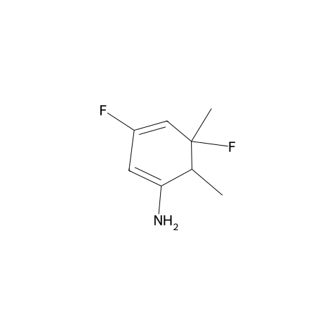 CC1C(N)=CC(F)=CC1(C)F